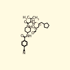 CC(C)[C@H](NC[C@H](CC1CCCC1)CN(O)C=O)C(=O)N1CCC(NC(=O)c2ccc(C#N)cc2)CC1